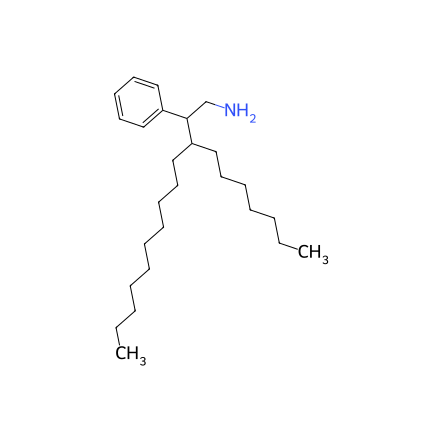 CCCCCCCCCCC(CCCCCCC)C(CN)c1ccccc1